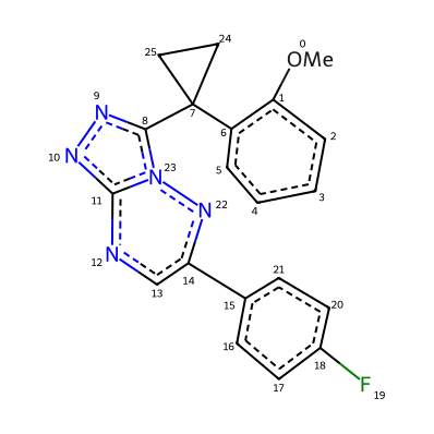 COc1ccccc1C1(c2nnc3ncc(-c4ccc(F)cc4)nn23)CC1